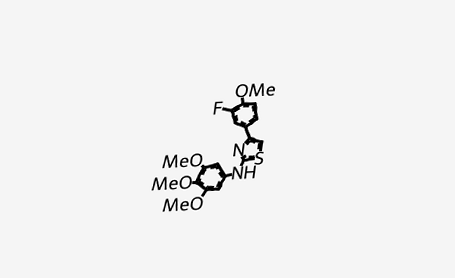 COc1ccc(-c2csc(Nc3cc(OC)c(OC)c(OC)c3)n2)cc1F